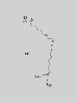 CCNC(=O)CCCCCCC/C=C\CCCCCCCCN(CCO)CCO.F